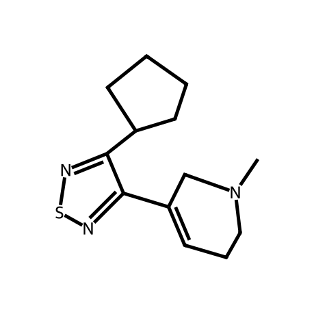 CN1CCC=C(c2nsnc2C2CCCC2)C1